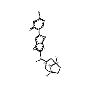 CN(c1nc2sc(-n3ccc(Br)cc3=O)nc2s1)[C@@H]1C[C@H]2CC[C@@H](C1)N2